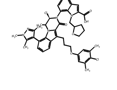 Cc1cc(OCCCc2c3n(c4c(-c5c(C)nn(C)c5C)cccc24)C(C)[C@@H](Cl)N(c2cccc4cc(C(=O)O)n(CC5CCCO5)c24)C3=O)cc(C)c1Cl